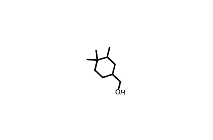 CC1CC(CO)CCC1(C)C